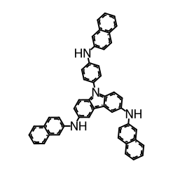 c1ccc2cc(Nc3ccc(-n4c5ccc(Nc6ccc7ccccc7c6)cc5c5cc(Nc6ccc7ccccc7c6)ccc54)cc3)ccc2c1